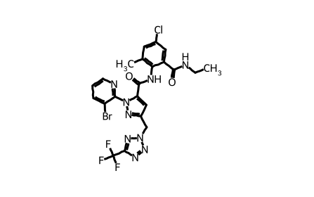 CCNC(=O)c1cc(Cl)cc(C)c1NC(=O)c1cc(Cn2nnc(C(F)(F)F)n2)nn1-c1ncccc1Br